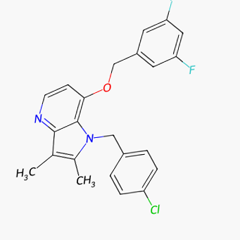 Cc1c(C)n(Cc2ccc(Cl)cc2)c2c(OCc3cc(F)cc(F)c3)ccnc12